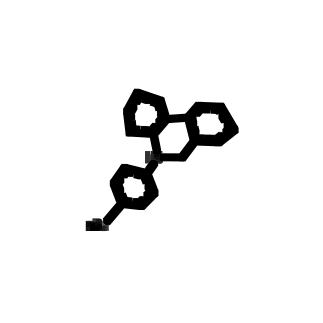 CCCCc1ccc([SH]2Cc3ccccc3-c3ccccc32)cc1